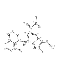 Cc1nc2c(NC3CCOc4cccc(F)c43)cc(C(=O)N(C)C)cn2c1CO